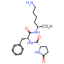 NCCCC[C@H](NC(=O)[C@H](Cc1ccccc1)NC(=O)[C@@H]1CCC(=O)N1)C(=O)O